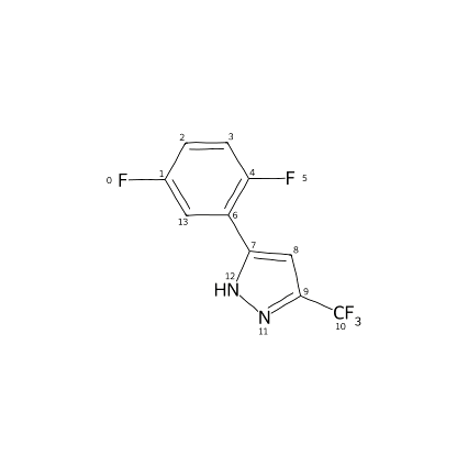 Fc1ccc(F)c(-c2cc(C(F)(F)F)n[nH]2)c1